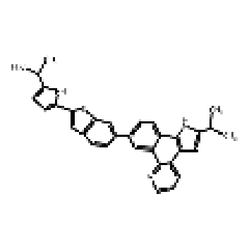 CC(C)c1ncc(-c2cc3ccc(-c4ccc5c(c4)c4ncccc4c4nc(C(C)C)[nH]c54)cc3s2)[nH]1